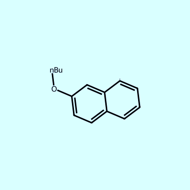 CCCCOc1ccc2ccc[c]c2c1